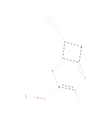 C#CC1Cc2cc(OC)c(OC)cc21